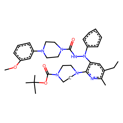 CCc1cc(N(NC(=O)N2CCN(c3cccc(OC)c3)CC2)c2ccccc2)c(N2CCN(C(=O)OC(C)(C)C)CC2)nc1C